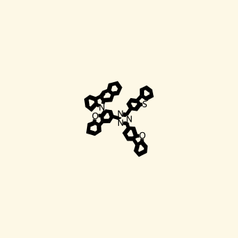 c1ccc2cc3c(cc2c1)c1ccccc1n3-c1cc(-c2nc(-c3ccc4c(c3)oc3ccccc34)nc(-c3ccc4c(c3)sc3ccccc34)n2)cc2c1oc1ccccc12